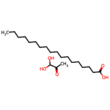 CC(=O)C(O)O.CCCCCCCCCCCCCCCCCC(=O)O